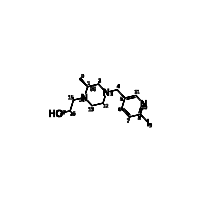 C[C@H]1CN(Cc2ccc(I)nc2)CCN1CCO